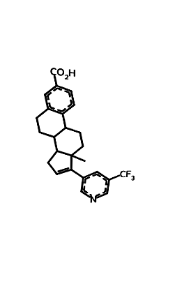 CC12CCC3c4ccc(C(=O)O)cc4CCC3C1CC=C2c1cncc(C(F)(F)F)c1